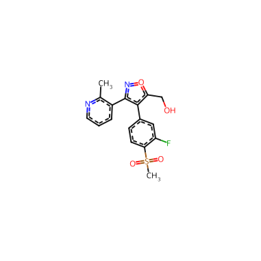 Cc1ncccc1-c1noc(CO)c1-c1ccc(S(C)(=O)=O)c(F)c1